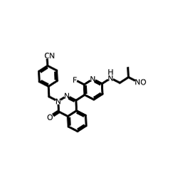 CC(CNc1ccc(-c2nn(Cc3ccc(C#N)cc3)c(=O)c3ccccc23)c(F)n1)N=O